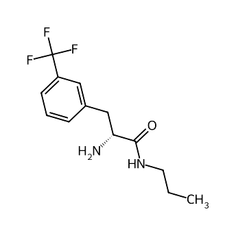 CCCNC(=O)[C@H](N)Cc1cccc(C(F)(F)F)c1